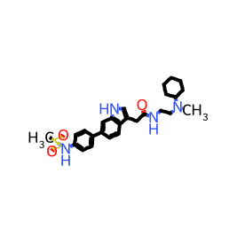 CN(CCNC(=O)Cc1c[nH]c2cc(-c3ccc(NS(C)(=O)=O)cc3)ccc12)C1CCCCC1